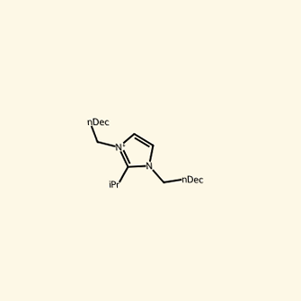 CCCCCCCCCCCn1cc[n+](CCCCCCCCCCC)c1C(C)C